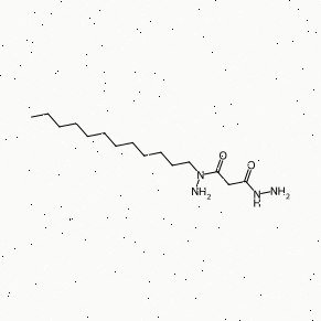 CCCCCCCCCCCCN(N)C(=O)CC(=O)NN